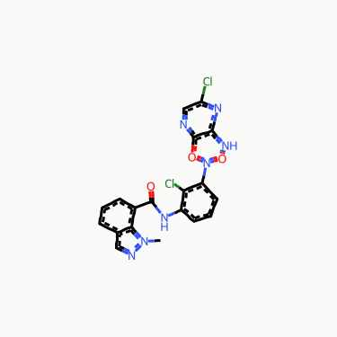 Cn1ncc2cccc(C(=O)Nc3cccc(-n4o[nH]c5nc(Cl)cnc5o4)c3Cl)c21